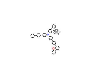 CC1(C)c2ccccc2-c2ccc(N(c3ccc(-c4ccc(-c5ccccc5)cc4)cc3)c3ccc(-c4ccc(-c5cccc6c5oc5ccccc56)cc4)cc3)cc21